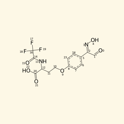 O=[C]/C(=N\O)c1ccc(OCCC(NC(=O)C(F)(F)F)C(=O)O)cc1